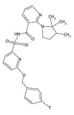 CC1CCN(c2ncccc2C(=O)NS(=O)(=O)c2cccc(OCc3ccc(F)cc3)n2)C1(C)C